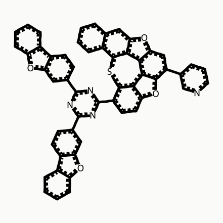 c1cncc(-c2cc3oc4cc5ccccc5c5sc6c(-c7nc(-c8ccc9c(c8)oc8ccccc89)nc(-c8ccc9c(c8)oc8ccccc89)n7)ccc7oc2c(c76)c3c45)c1